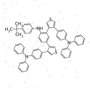 CC(C)(C)c1ccc(Nc2ccc(-c3cscc3-c3ccc(N(c4ccccc4)c4ccccc4)cc3)cc2-c2cscc2-c2ccc(N(c3ccccc3)c3ccccc3)cc2)cc1